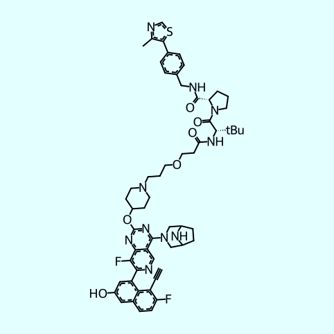 C#Cc1c(F)ccc2cc(O)cc(-c3ncc4c(N5CC6CCC(C5)N6)nc(OC5CCN(CCCOCCC(=O)N[C@H](C(=O)N6CCC[C@H]6C(=O)NCc6ccc(-c7scnc7C)cc6)C(C)(C)C)CC5)nc4c3F)c12